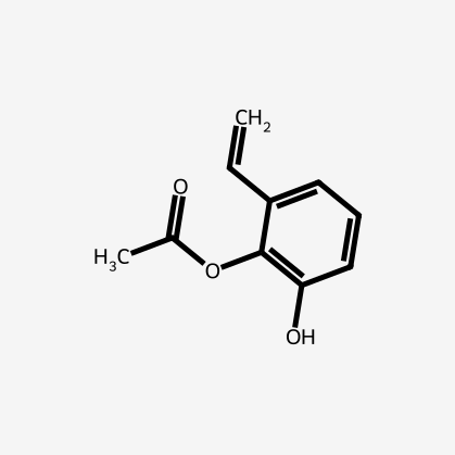 C=Cc1cccc(O)c1OC(C)=O